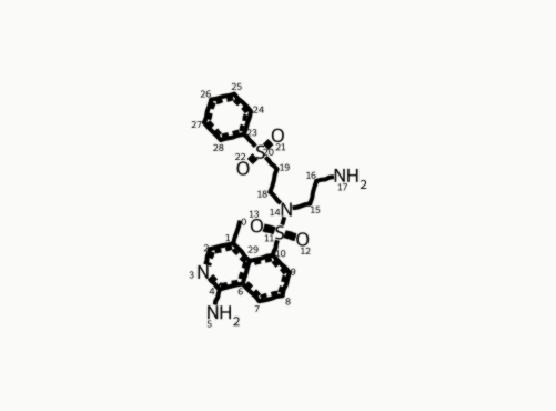 Cc1cnc(N)c2cccc(S(=O)(=O)N(CCN)CCS(=O)(=O)c3ccccc3)c12